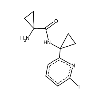 NC1(C(=O)NC2(c3cccc(I)n3)CC2)CC1